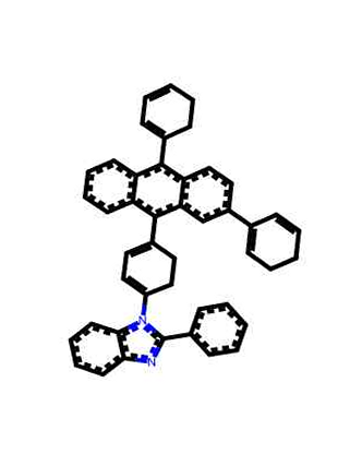 C1=CCCC(c2c3ccccc3c(C3=CC=C(n4c(-c5ccccc5)nc5ccccc54)CC3)c3cc(C4=CCCC=C4)ccc23)=C1